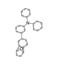 c1ccc(N(c2ccccc2)c2cccc(-c3ccc4c5ccc(o5)c4c3)c2)cc1